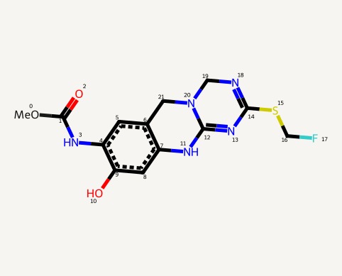 COC(=O)Nc1cc2c(cc1O)NC1=NC(SCF)=NCN1C2